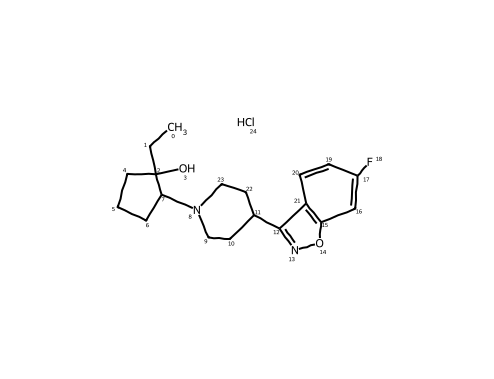 CCC1(O)CCCC1N1CCC(c2noc3cc(F)ccc23)CC1.Cl